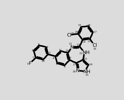 Fc1cccc(-c2ccc3c(c2)N=C(c2c(Cl)cccc2Cl)Nc2c[nH]nc2-3)c1